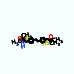 CN[C@](S)(Cc1ccc(CCc2ccc(CC(C)(S)C(C)=O)cc2)cc1)C(C)=O